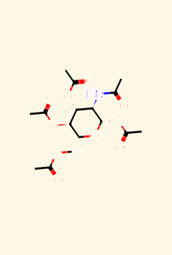 CC(=O)N[C@H]1[C@H](OC(C)=O)O[C@H](COC(C)=O)[C@@H](OC(C)=O)[C@@H]1OC(C)=O